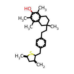 C=C1CC(=C)C(Cc2ccc(CCC3(C)CCc4c(C)c(O)c(C)c(C)c4C3)cc2)S1